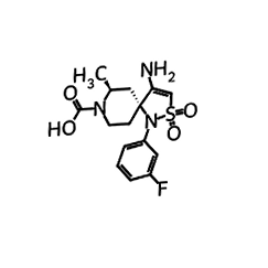 C[C@H]1C[C@]2(CCN1C(=O)O)C(N)=CS(=O)(=O)N2c1cccc(F)c1